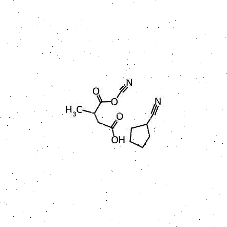 CC(CC(=O)O)C(=O)OC#N.N#CC1CCCC1